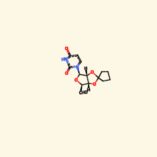 O=C[C@H]1O[C@@H](n2ccc(=O)[nH]c2=O)[C@@H]2OC3(CCCC3)O[C@@H]21